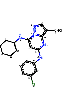 O=Cc1cnn2c(NC3CCCCC3)cc(Nc3cccc(Cl)c3)nc12